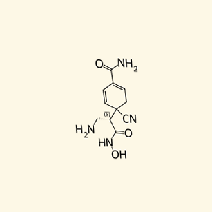 N#CC1([C@@H](CN)C(=O)NO)C=CC(C(N)=O)=CC1